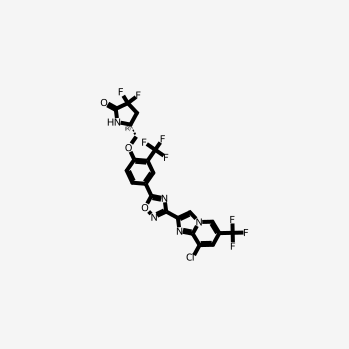 O=C1N[C@@H](COc2ccc(-c3nc(-c4cn5cc(C(F)(F)F)cc(Cl)c5n4)no3)cc2C(F)(F)F)CC1(F)F